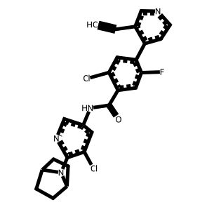 C#Cc1cnccc1-c1cc(Cl)c(C(=O)Nc2cnc(N3C4CCC3CC4)c(Cl)c2)cc1F